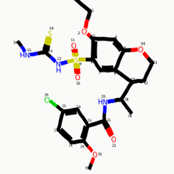 CCOc1cc2c(cc1S(=O)(=O)NC(=S)NC)C(C(C)NC(=O)c1cc(Cl)ccc1OC)CCO2